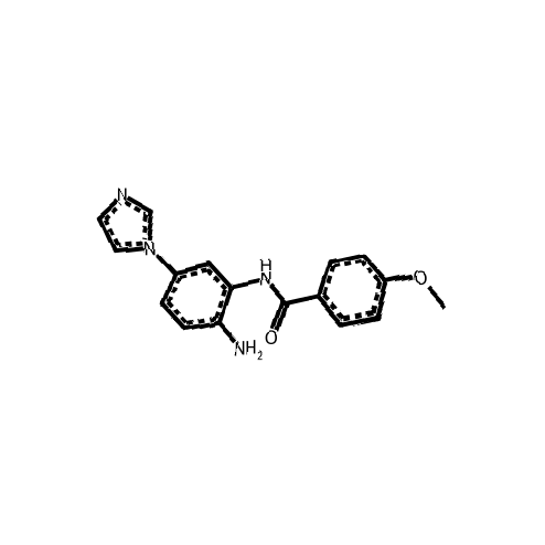 COc1ccc(C(=O)Nc2cc(-n3ccnc3)ccc2N)cc1